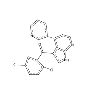 O=C(c1cc(Cl)ccc1Cl)c1c[nH]c2nccc(-c3cccnc3)c12